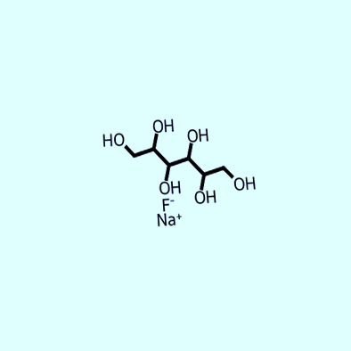 OCC(O)C(O)C(O)C(O)CO.[F-].[Na+]